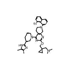 CCc1cccc2cccc(N3CCc4c(nc(OCC5(CN(C)C)CC5)nc4N4CCCC(c5nc(C)c(C)[nH]5)C4)C3)c12